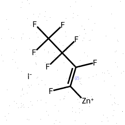 F/[C]([Zn+])=C(/F)C(F)(F)C(F)(F)F.[I-]